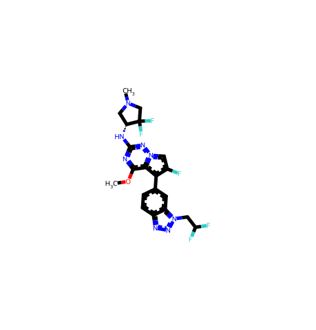 COc1nc(N[C@@H]2CN(C)CC2(F)F)nn2cc(F)c(-c3ccc4nnn(CC(F)F)c4c3)c12